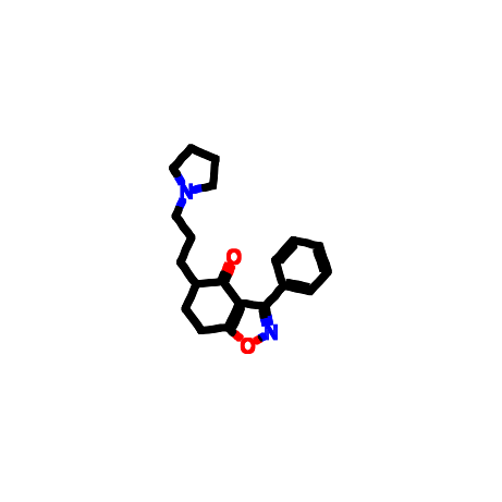 O=C1c2c(-c3ccccc3)noc2CCC1CCCN1CCCC1